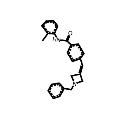 Cc1ccccc1NC(=O)c1ccc(C=C2CN(Cc3ccccc3)C2)cc1